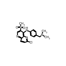 CN(C)Cc1ccc(Nc2c(S(C)(=O)=O)cnc3ccc(Cl)nc23)cc1